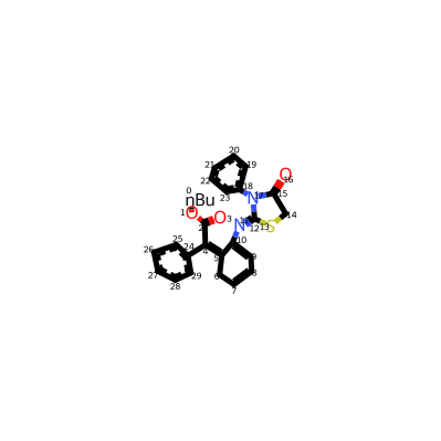 CCCCOC(=O)C(=C1CC=CC=C1N=C1SCC(=O)N1c1ccccc1)c1ccccc1